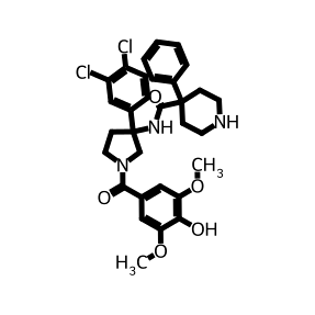 COc1cc(C(=O)N2CCC(NC(=O)C3(c4ccccc4)CCNCC3)(c3ccc(Cl)c(Cl)c3)C2)cc(OC)c1O